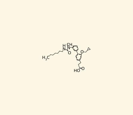 CCCCCCCNC(=O)N(C)c1cccc(-c2ccc(CCC(=O)O)cc2OCC2CC2)c1